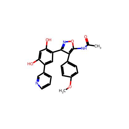 COc1ccc(-c2c(-c3cc(-c4cccnc4)c(O)cc3O)noc2NC(C)=O)cc1